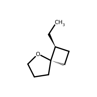 CC[C@H]1CC[C@@]12CCCO2